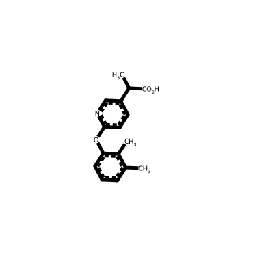 Cc1cccc(Oc2ccc(C(C)C(=O)O)cn2)c1C